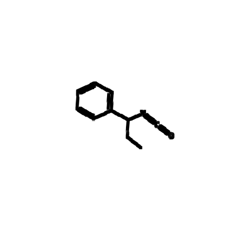 CCC(N=C=O)c1[c]cccc1